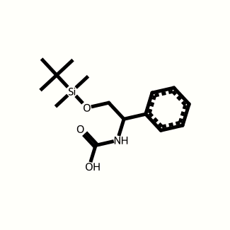 CC(C)(C)[Si](C)(C)OCC(NC(=O)O)c1ccccc1